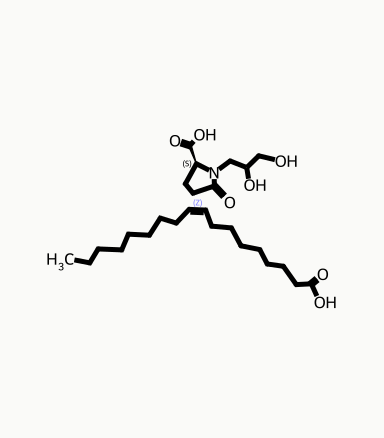 CCCCCCCC/C=C\CCCCCCCC(=O)O.O=C(O)[C@@H]1CCC(=O)N1CC(O)CO